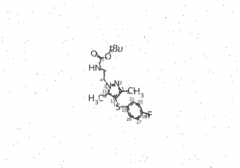 Cc1nn(CCNC(=O)OC(C)(C)C)c(C)c1Sc1ccc(F)cc1